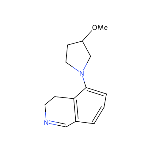 COC1CCN(c2cccc3c2CCN=C3)C1